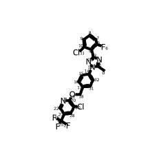 Cc1nc(-c2c(F)cccc2Cl)nn1-c1ccc(COc2ncc(C(F)(F)F)cc2Cl)cc1